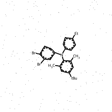 CCc1ccc(N(c2ccc(Br)c(Br)c2)c2c(C)cc(C(C)(C)C)cc2C)cc1